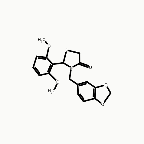 COc1cccc(OC)c1C1SCC(=O)N1Cc1ccc2c(c1)OCO2